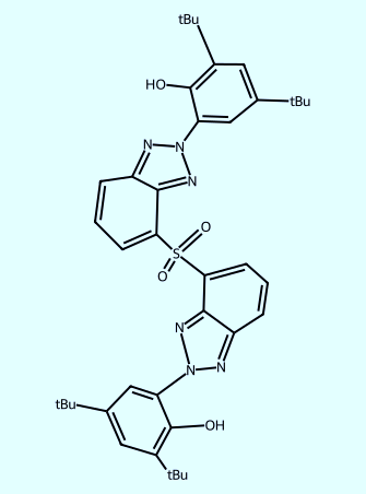 CC(C)(C)c1cc(-n2nc3cccc(S(=O)(=O)c4cccc5nn(-c6cc(C(C)(C)C)cc(C(C)(C)C)c6O)nc45)c3n2)c(O)c(C(C)(C)C)c1